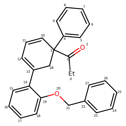 CCC(=O)C1(c2ccccc2)C=CC=C(c2ccccc2OCc2ccccc2)C1